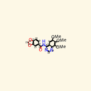 COc1cc2c(NC(=O)c3ccc4c(c3)OCO4)ncnc2c(OC)c1OC